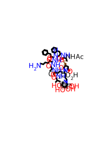 CC(=O)NC(CSC1CC(=O)N(CCCCN2C[C@@H](O)[C@@H](O)[C@H](O)[C@H]2CO)C1=O)C(=O)NC(Cc1ccccc1)C(=O)NC(NC(NC(=O)C(CC(=O)O)NC(=O)C(CCC(=O)O)NC(=O)C(C)CC(C)C)C(=O)CCCCN)C(=O)Cc1ccccc1